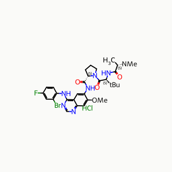 CN[C@@H](C)C(=O)N[C@H](C(=O)N1CCC[C@H]1C(=O)Nc1cc2c(Nc3ccc(F)cc3Br)ncnc2cc1OC)C(C)(C)C.Cl